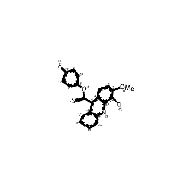 COc1ccc2c(C(=S)Oc3ccc(F)cc3)c3ccccc3nc2c1Cl